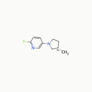 C[C@H]1CCN(c2ccc(F)nc2)C1